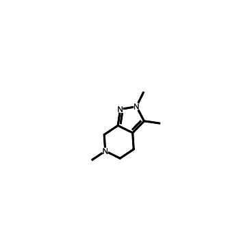 Cc1c2c(nn1C)CN(C)CC2